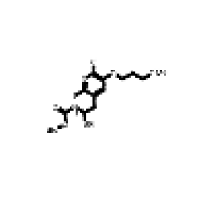 COCCCOc1cc(CC(NC(=O)OC(C)(C)C)C(C)(C)C)c(I)nc1Cl